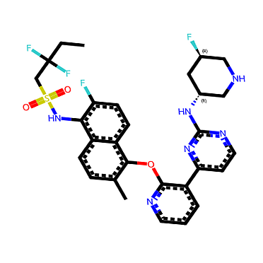 CCC(F)(F)CS(=O)(=O)Nc1c(F)ccc2c(Oc3ncccc3-c3ccnc(N[C@H]4CNC[C@H](F)C4)n3)c(C)ccc12